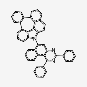 c1ccc(-c2nc(-c3ccccc3)c3c(cc(-n4c5cccc6c5c5c7c(cccc7ccc54)-c4ccccc4-6)c4ccccc43)n2)cc1